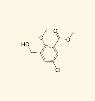 COC(=O)c1cc(Cl)cc(CO)c1OC